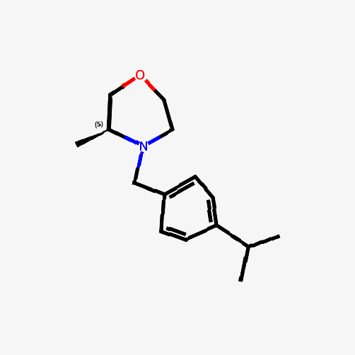 CC(C)c1ccc(CN2CCOC[C@@H]2C)cc1